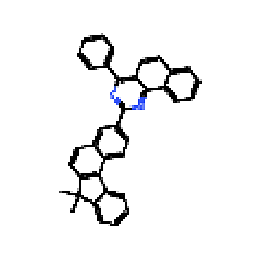 CC1(C)c2ccccc2-c2c1ccc1cc(-c3nc(-c4ccccc4)c4ccc5ccccc5c4n3)ccc21